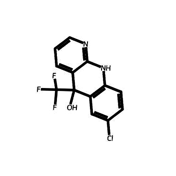 OC1(C(F)(F)F)c2cc(Cl)ccc2Nc2ncccc21